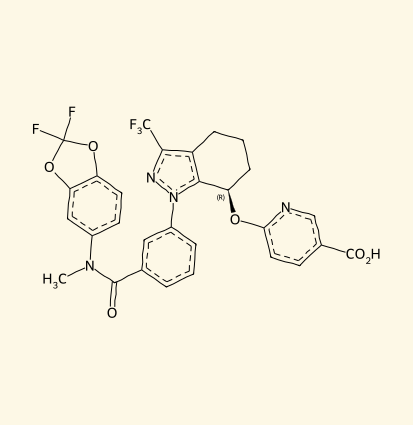 CN(C(=O)c1cccc(-n2nc(C(F)(F)F)c3c2[C@H](Oc2ccc(C(=O)O)cn2)CCC3)c1)c1ccc2c(c1)OC(F)(F)O2